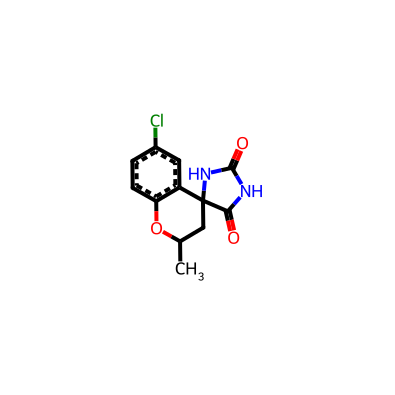 CC1CC2(NC(=O)NC2=O)c2cc(Cl)ccc2O1